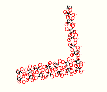 [K+].[O]=[Cr](=[O])([O-])[O][Cr](=[O])(=[O])[O-].[O]=[Cr](=[O])([O-])[O][Cr](=[O])(=[O])[O-].[O]=[Cr](=[O])([O-])[O][Cr](=[O])(=[O])[O-].[O]=[Cr](=[O])([O-])[O][Cr](=[O])(=[O])[O-].[O]=[Cr](=[O])([O-])[O][Cr](=[O])(=[O])[O-].[O]=[Cr](=[O])([O-])[O][Cr](=[O])(=[O])[O-].[O]=[Cr](=[O])([O-])[O][Cr](=[O])(=[O])[O-].[O]=[Cr](=[O])([O-])[O][Cr](=[O])(=[O])[O-].[O]=[Cr](=[O])([O-])[O][Cr](=[O])(=[O])[O-].[O]=[Cr](=[O])([O-])[O][Cr](=[O])(=[O])[O-]